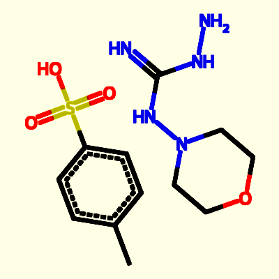 Cc1ccc(S(=O)(=O)O)cc1.N=C(NN)NN1CCOCC1